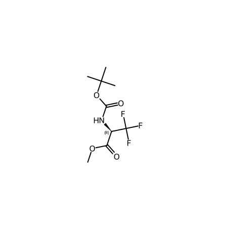 COC(=O)[C@@H](NC(=O)OC(C)(C)C)C(F)(F)F